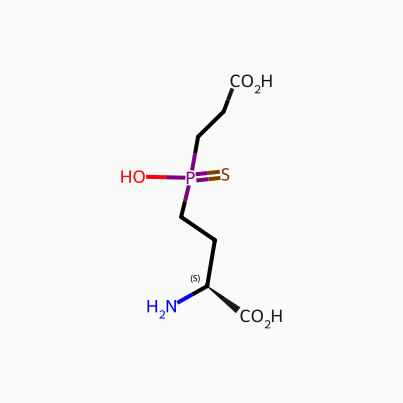 N[C@@H](CCP(O)(=S)CCC(=O)O)C(=O)O